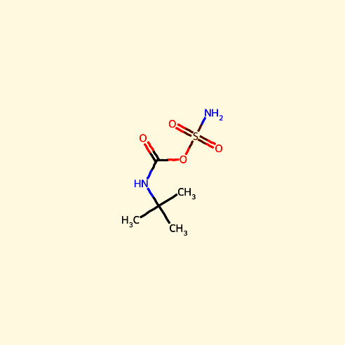 CC(C)(C)NC(=O)OS(N)(=O)=O